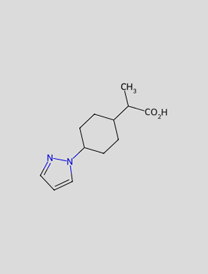 CC(C(=O)O)C1CCC(n2cccn2)CC1